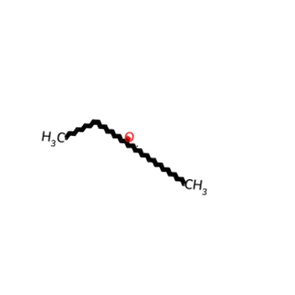 CCCCCCCC/C=C\CCCCCCCC(=O)C[CH]CCCCCCCCCCCCCCCC